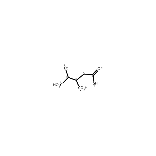 CCC(C(=O)O)C(CC(=O)S)C(=O)O